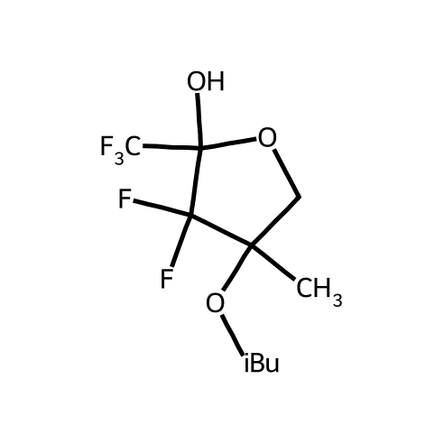 CCC(C)OC1(C)COC(O)(C(F)(F)F)C1(F)F